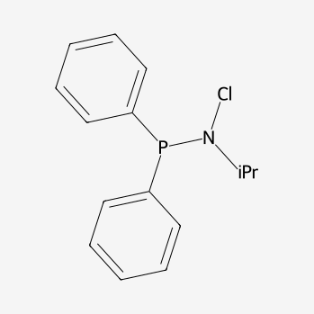 CC(C)N(Cl)P(c1ccccc1)c1ccccc1